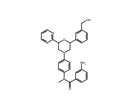 CN(C(=O)c1cccc(N)c1)c1ccc(N2CC(c3cccc(CO)c3)OC(c3ncccn3)C2)cc1